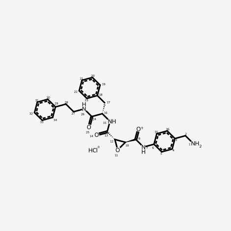 Cl.NCc1ccc(NC(=O)[C@H]2O[C@@H]2C(=O)N[C@@H](Cc2ccccc2)C(=O)NCCc2ccccc2)cc1